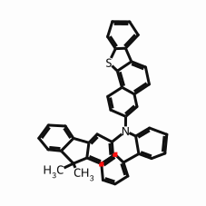 CC1(C)c2ccccc2-c2cc(N(c3ccc4c(ccc5c6ccccc6sc45)c3)c3ccccc3-c3ccccc3)ccc21